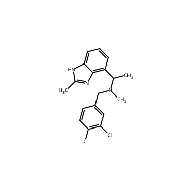 Cc1nc2c(C(C)N(C)Cc3ccc(Cl)c(Cl)c3)cccc2[nH]1